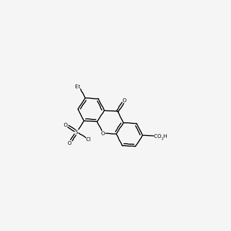 CCc1cc(S(=O)(=O)Cl)c2oc3ccc(C(=O)O)cc3c(=O)c2c1